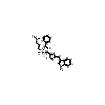 CCN(CC)CCCS(=O)(=O)N[C@H](CCc1ccccc1)c1nc(Cc2cn(CC)c3ccccc23)n[nH]1